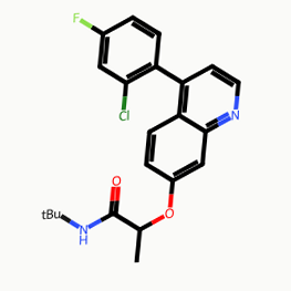 CC(Oc1ccc2c(-c3ccc(F)cc3Cl)ccnc2c1)C(=O)NC(C)(C)C